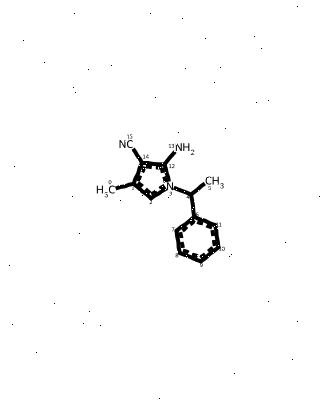 Cc1cn(C(C)c2ccccc2)c(N)c1C#N